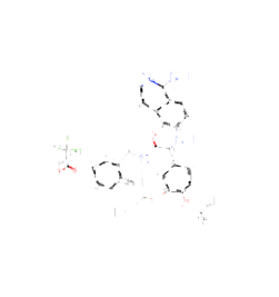 CCOc1cc(C(Nc2ccc3c(N)nccc3c2)C(=O)NCc2ccccc2C)ccc1OC(C)C.O=C(O)C(F)(F)F